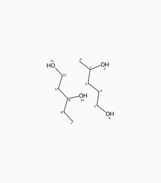 CC(O)CCCO.CCC(O)CCO